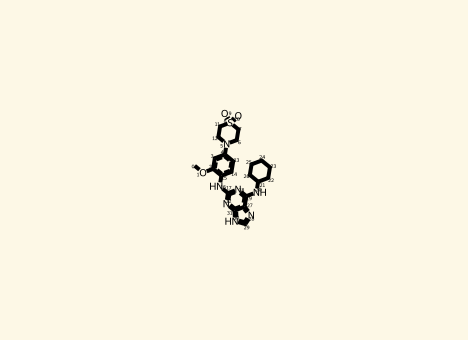 COc1cc(N2CCS(=O)(=O)CC2)ccc1Nc1nc(NC2CCCCC2)c2nc[nH]c2n1